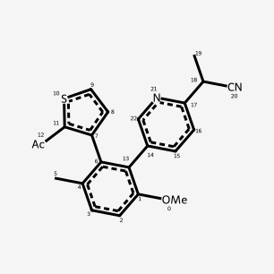 COc1ccc(C)c(-c2ccsc2C(C)=O)c1-c1ccc(C(C)C#N)nc1